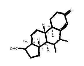 CC1C2=CC(=O)CC[C@]2(C)[C@H]2CC[C@]3(C)C(C=O)CC[C@H]3[C@@H]2C1C